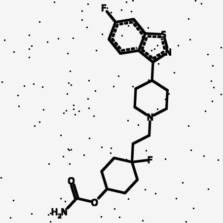 NC(=O)OC1CCC(F)(CCN2CCC(c3nsc4cc(F)ccc34)CC2)CC1